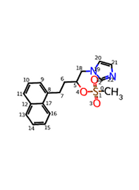 CS(=O)(=O)OC(CCc1cccc2ccccc12)Cn1ccnc1